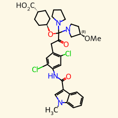 CO[C@@H]1CCN(C(O[C@H]2CC[C@H](C(=O)O)CC2)(C(=O)Cc2cc(Cl)c(NC(=O)c3cn(C)c4ccccc34)cc2Cl)N2CCCC2)C1